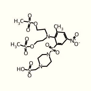 Cc1cc([N+](=O)[O-])cc(S(=O)(=O)N2CCN(CS(=O)(=O)O)CC2)c1N(CCOS(C)(=O)=O)CCOS(C)(=O)=O